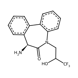 N[C@@H]1C(=O)N(CC(O)C(F)(F)F)c2ccccc2-c2ccccc21